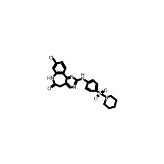 O=C1Cc2cnc(Nc3ccc(S(=O)(=O)N4CCCCC4)cc3)nc2-c2ccc(Cl)cc2N1